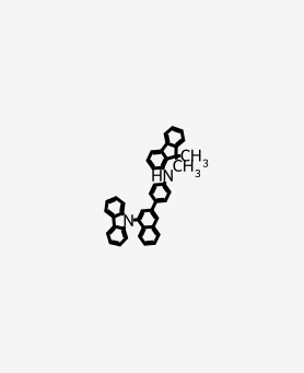 CC1(C)c2ccccc2-c2cccc(Nc3ccc(-c4cc(-n5c6ccccc6c6ccccc65)c5ccccc5c4)cc3)c21